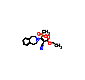 CCOC(=O)/C(C#N)=C(/N1CCc2ccccc2CC1)S(C)(=O)=O